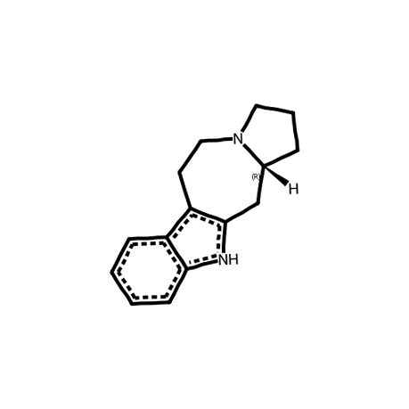 c1ccc2c3c([nH]c2c1)C[C@H]1CCCN1CC3